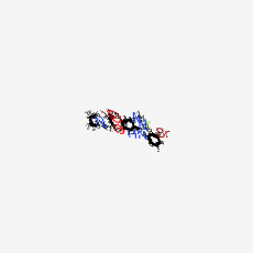 Fc1c(Br)cccc1Nc1ncnc2cc3c(cc12)O[C@H](CN1CCCC1)CO3